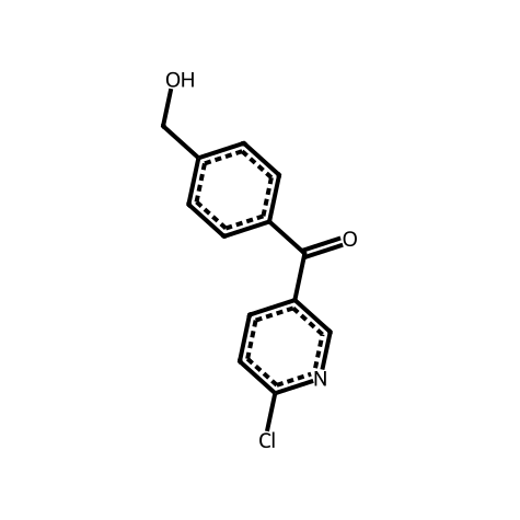 O=C(c1ccc(CO)cc1)c1ccc(Cl)nc1